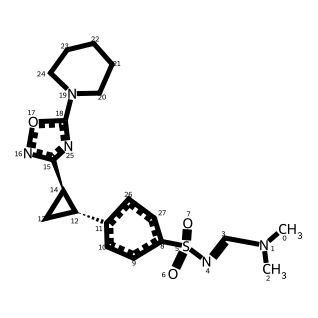 CN(C)C=NS(=O)(=O)c1ccc([C@@H]2C[C@H]2c2noc(N3CCCCC3)n2)cc1